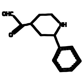 O=CC(=O)C1CCNC(c2ccccc2)C1